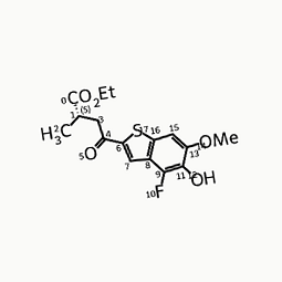 CCOC(=O)[C@@H](C)CC(=O)c1cc2c(F)c(O)c(OC)cc2s1